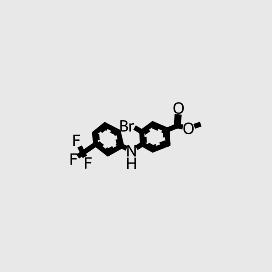 COC(=O)c1ccc(Nc2cccc(C(F)(F)F)c2)c(Br)c1